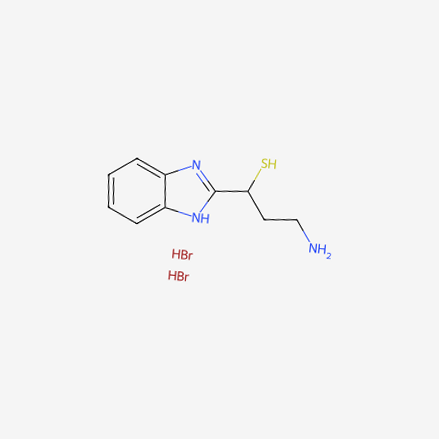 Br.Br.NCCC(S)c1nc2ccccc2[nH]1